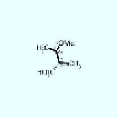 CO[C@H](C)[C@H](C)C(=O)O